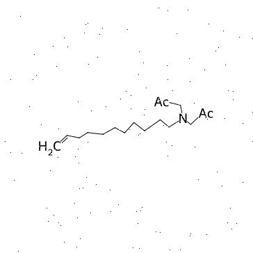 C=CCCCCCCCCCN(CC(C)=O)CC(C)=O